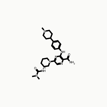 CN1CCC(c2ccc(Nc3nc(N4CCC[C@@H](NC(=O)N(C)C)C4)cnc3C(N)=O)cc2)CC1